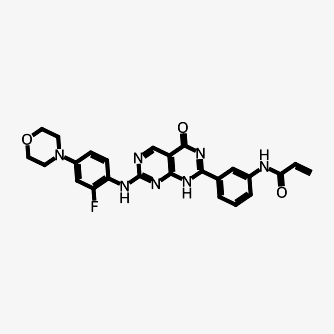 C=CC(=O)Nc1cccc(-c2nc(=O)c3cnc(Nc4ccc(N5CCOCC5)cc4F)nc3[nH]2)c1